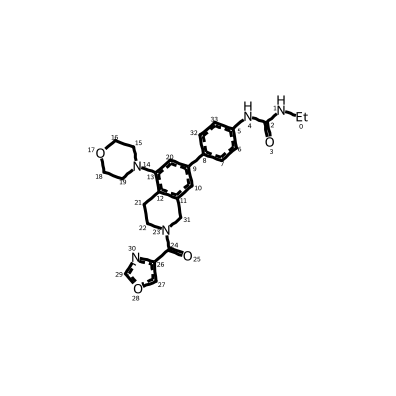 CCNC(=O)Nc1ccc(-c2cc3c(c(N4CCOCC4)c2)CCN(C(=O)c2cocn2)C3)cc1